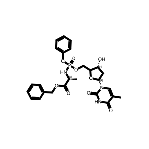 Cc1cn([C@H]2C[C@@H](O)C(COP(=O)(N[C@@H](C)C(=O)OCc3ccccc3)Oc3ccccc3)O2)c(=O)[nH]c1=O